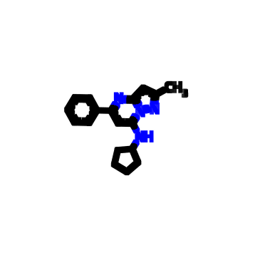 Cc1cc2nc(-c3ccccc3)cc(NC3CCCC3)n2n1